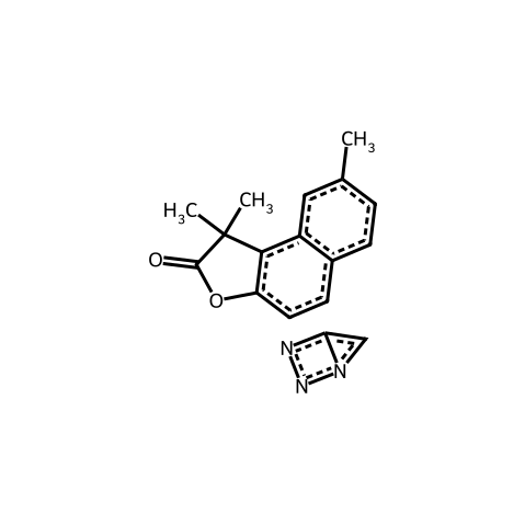 Cc1ccc2ccc3c(c2c1)C(C)(C)C(=O)O3.c1c2nnn1-2